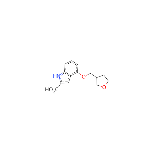 O=C(O)c1cc2c(OCC3CCOC3)cccc2[nH]1